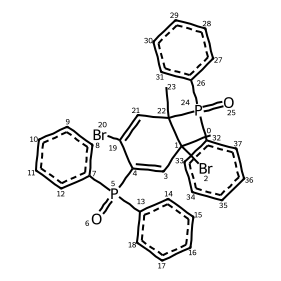 CC1(Br)C=C(P(=O)(c2ccccc2)c2ccccc2)C(Br)=CC1(C)P(=O)(c1ccccc1)c1ccccc1